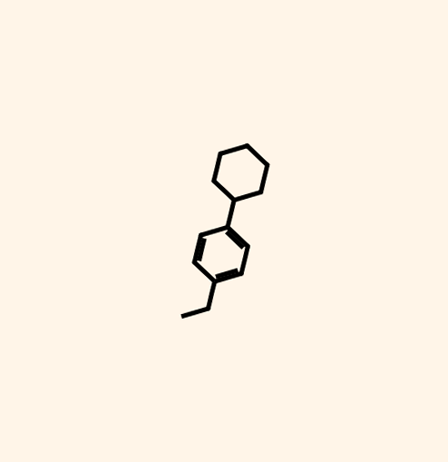 CCc1ccc(C2CCCCC2)cc1